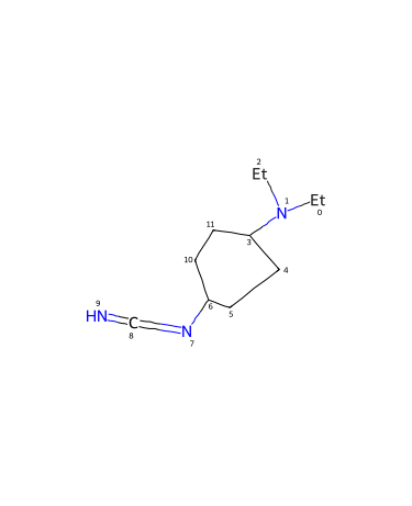 CCN(CC)C1CCC(N=C=N)CC1